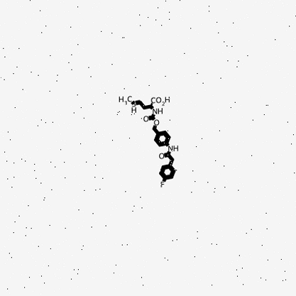 C[SH]=CC[C@H](NC(=O)OCc1ccc(NC(=O)Cc2ccc(F)cc2)cc1)C(=O)O